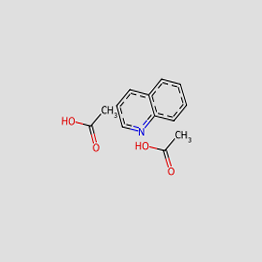 CC(=O)O.CC(=O)O.c1ccc2ncccc2c1